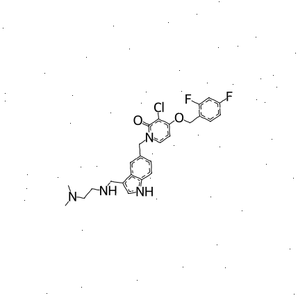 CN(C)CCNCc1c[nH]c2ccc(Cn3ccc(OCc4ccc(F)cc4F)c(Cl)c3=O)cc12